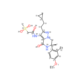 CCOc1ccc([C@@]2(C)Cn3nc(CCC4CC4)c(NC(=O)CS(C)(=O)=O)c3C(=O)N2)c(CC)c1